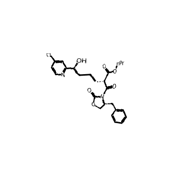 CCCOC(=O)[C@@H](CCC[C@H](O)c1cc(Cl)ccn1)C(=O)N1C(=O)OC[C@@H]1Cc1ccccc1